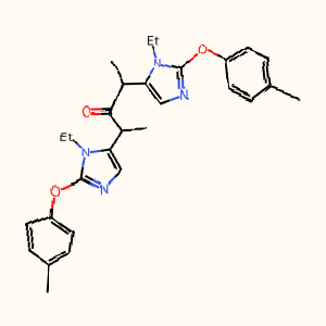 CCn1c(C(C)C(=O)C(C)c2cnc(Oc3ccc(C)cc3)n2CC)cnc1Oc1ccc(C)cc1